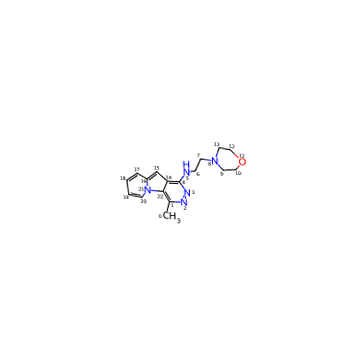 Cc1nnc(NCCN2CCOCC2)c2cc3ccccn3c12